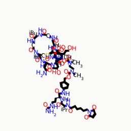 CC[C@H](C)[C@@H]1NC(=O)CNC(=O)[C@H]2Cc3c([nH]c4cc(OC(=O)N(C)CCN(C)C(=O)OCc5ccc(NC(=O)[C@H](CCCNC(N)=O)NC(=O)[C@@H](NC(=O)CCCCCN6C(=O)C=CC6=O)C(C)C)cc5)ccc34)[S+]([O-])C[C@H](NC(=O)CNC1=O)C(=O)N/C(=C/C(N)=O)C(=O)N1C[C@H](O)C[C@H]1C(=O)N[C@@H]([C@@H](C)[C@@H](O)CO)C(=O)N2